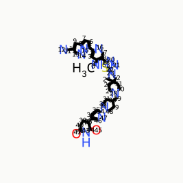 CNc1cc(-c2ccc3cc(C#N)cnn23)ncc1-c1nnc(N2CC3(CCN(CC4CCN(c5ccc([C@@H]6CCC(=O)NC6=O)cn5)CC4)CC3)C2)s1